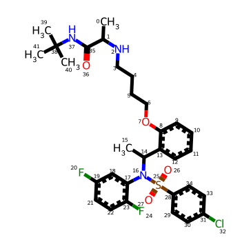 CC(NCCCCOc1ccccc1C(C)N(c1cc(F)ccc1F)S(=O)(=O)c1ccc(Cl)cc1)C(=O)NC(C)(C)C